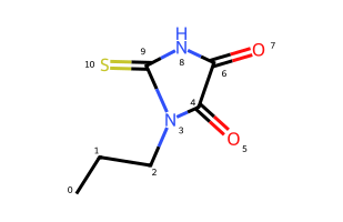 CCCN1C(=O)C(=O)NC1=S